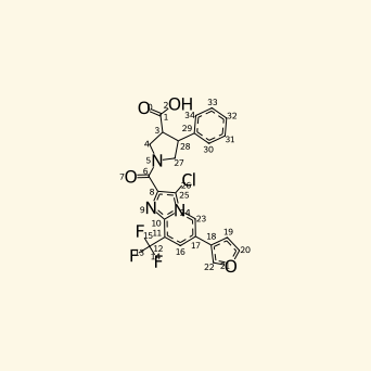 O=C(O)C1CN(C(=O)c2nc3c(C(F)(F)F)cc(-c4ccoc4)cn3c2Cl)CC1c1ccccc1